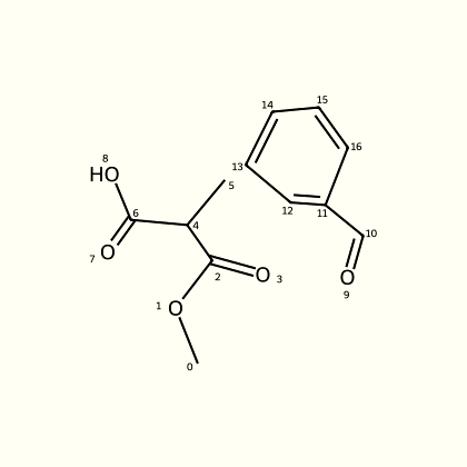 COC(=O)C(C)C(=O)O.O=Cc1ccccc1